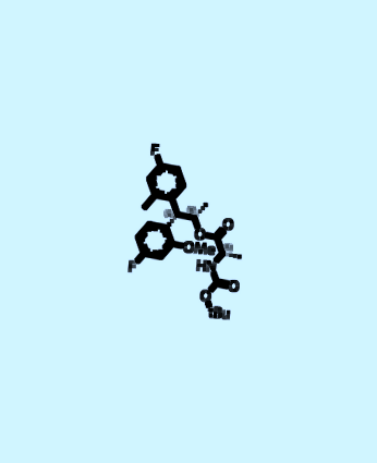 COc1cc(F)ccc1[C@H](c1ccc(F)cc1C)[C@H](C)OC(=O)[C@H](C)NC(=O)OC(C)(C)C